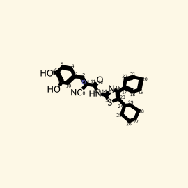 N#C/C(=C\c1ccc(O)c(O)c1)C(=O)Nc1nc(-c2ccccc2)c(C2CCCCC2)s1